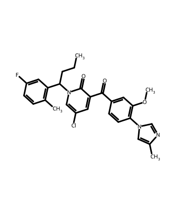 CCCC(c1cc(F)ccc1C)n1cc(Cl)cc(C(=O)c2ccc(-n3cnc(C)c3)c(OC)c2)c1=O